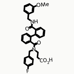 COc1cccc(CNC(=O)c2ccccc2-c2ccccc2C(=O)N(CCC(=O)O)Cc2ccc(F)cc2)c1